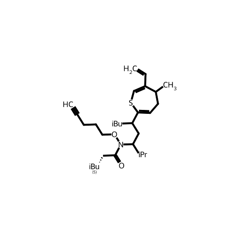 C#CCCCON(C(=O)C[C@@H](C)CC)C(CC(C1=CCC(C)C(C=C)=CS1)C(C)CC)C(C)C